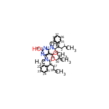 CCCC(CN(C)c1nc(O)nc(N(C)CC(CCC)c2ccccc2)c1C(=O)OCC(C)C)c1ccccc1